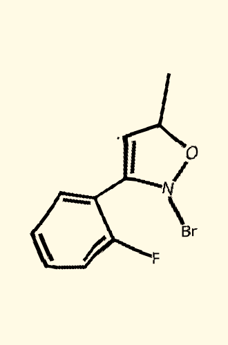 CC1[C]=C(c2ccccc2F)N(Br)O1